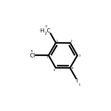 [CH2]c1ccc(I)cc1Cl